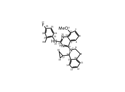 COc1cccc2c(N3CCc4ccccc4C3C3CC3)nc(Nc3ccc(F)cc3C)nc12